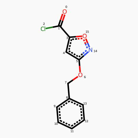 O=C(Cl)c1cc(OCc2ccccc2)no1